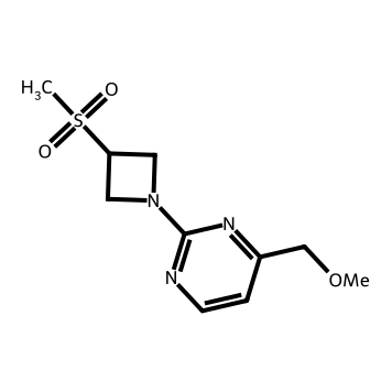 COCc1ccnc(N2CC(S(C)(=O)=O)C2)n1